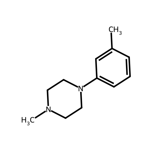 Cc1cccc(N2CCN(C)CC2)c1